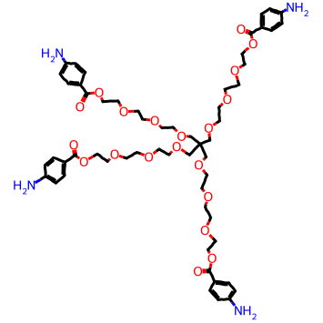 Nc1ccc(C(=O)OCCOCCOCCOCC(COCCOCCOCCOC(=O)c2ccc(N)cc2)(COCCOCCOCCOC(=O)c2ccc(N)cc2)COCCOCCOCCOC(=O)c2ccc(N)cc2)cc1